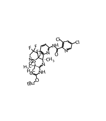 CC(C)(C)OC(=O)NC1=N[C@](C)(c2nc(NC(=O)c3ncc(Cl)cc3Cl)ccc2F)[C@H]2CC(F)(F)CN=[S@]2(=O)C1(C)C